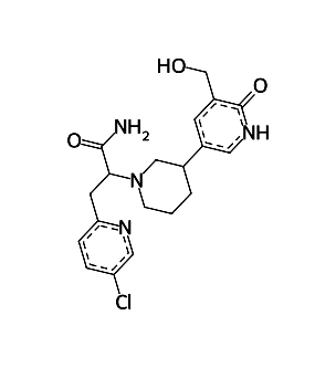 NC(=O)C(Cc1ccc(Cl)cn1)N1CCCC(c2c[nH]c(=O)c(CO)c2)C1